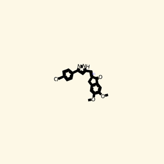 COc1cc2c(cc1OC)C(=O)/C(=C/c1cc(-c3ccc(Cl)cc3)n[nH]1)C2